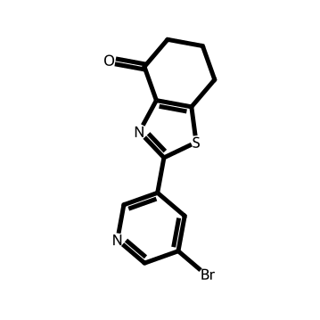 O=C1CCCc2sc(-c3cncc(Br)c3)nc21